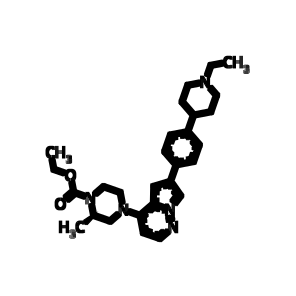 CCOC(=O)N1CCN(c2ccnn3cc(-c4ccc(C5CCN(CC)CC5)cc4)cc23)C[C@H]1C